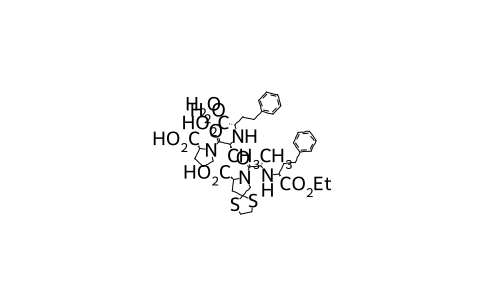 CCOC(=O)[C@H](CCc1ccccc1)N[C@@H](C)C(=O)N1CC2(C[C@H]1C(=O)O)SCCS2.C[C@H](N[C@@H](CCc1ccccc1)C(=O)O)C(=O)N1CCC[C@H]1C(=O)O.O.O